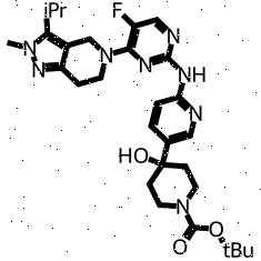 CC(C)c1c2c(nn1C)CCN(c1nc(Nc3ccc(C4(O)CCN(C(=O)OC(C)(C)C)CC4)cn3)ncc1F)C2